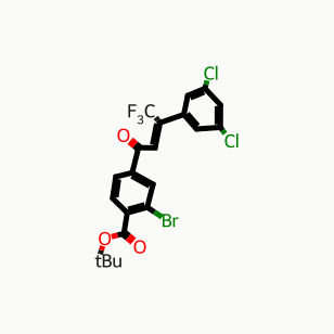 CC(C)(C)OC(=O)c1ccc(C(=O)/C=C(/c2cc(Cl)cc(Cl)c2)C(F)(F)F)cc1Br